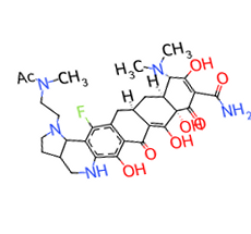 CC(=O)N(C)CCN1CCC2CNc3c(O)c4c(c(F)c3C21)C[C@H]1C[C@H]2[C@H](N(C)C)C(O)=C(C(N)=O)C(=O)[C@@]2(O)C(O)=C1C4=O